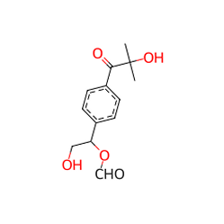 CC(C)(O)C(=O)c1ccc(C(CO)OC=O)cc1